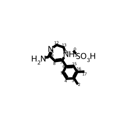 CS(=O)(=O)O.Cc1ccc(C2=CC(N)=NCCN2)cc1C